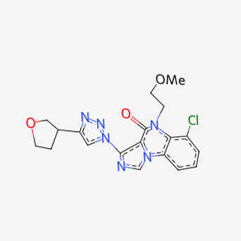 COCCn1c(=O)c2c(-n3cc(C4CCOC4)nn3)ncn2c2cccc(Cl)c21